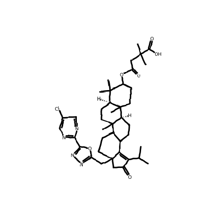 CC(C)C1=C2C3CC[C@H]4C(C)(CC[C@H]5C(C)(C)C(OC(=O)CC(C)(C)C(=O)O)CCC54C)C3CCC2(Cc2nnc(-c3ncc(Cl)cn3)o2)CC1=O